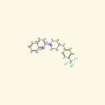 FC(F)(F)c1ccc(CC2CCN(c3ccc4ccc[c]c4n3)CC2)cc1